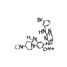 COc1cc(N2CCC(N3CCCC3)CC2)c(N)cc1Nc1ncnc(Nc2cccc(Br)c2)n1